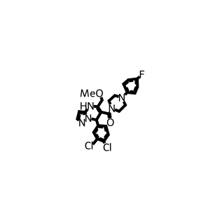 COCC1=C(C(=O)N2CCN(c3ccc(F)cc3)CC2)C(c2ccc(Cl)c(Cl)c2)n2nccc2N1